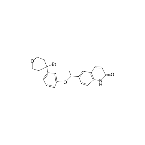 CCC1(c2cccc(OC(C)c3ccc4[nH]c(=O)ccc4c3)c2)CCOCC1